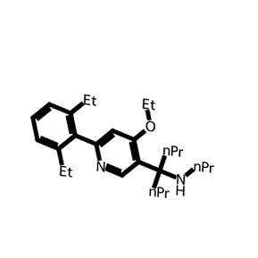 CCCNC(CCC)(CCC)c1cnc(-c2c(CC)cccc2CC)cc1OCC